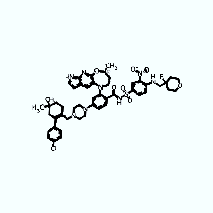 C[C@@H]1CCN(c2cc(N3CCN(CC4=C(c5ccc(Cl)cc5)CC(C)(C)CC4)CC3)ccc2C(=O)NS(=O)(=O)c2ccc(NCC3(F)CCOCC3)c([N+](=O)[O-])c2)c2cc3cc[nH]c3nc2O1